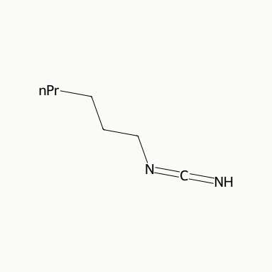 CCCCCCN=C=N